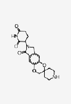 O=C1CCC(N2Cc3cc4c(cc3C2=O)OCC2(CCNCC2)O4)C(=O)N1